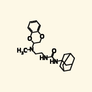 CN(CCNC(=O)NC12CC3CC(CC(C3)C1)C2)C1COc2ccccc2O1